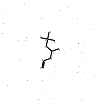 C=CCC(C)CC(C)(C)C